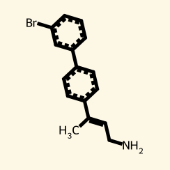 CC(=CCN)c1ccc(-c2cccc(Br)c2)cc1